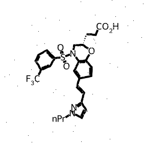 CCCn1ccc(/C=C/c2ccc3c(c2)N(S(=O)(=O)c2cccc(C(F)(F)F)c2)C[C@H](CCC(=O)O)O3)n1